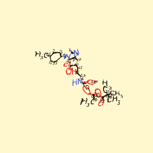 CC1CCC(n2cnc(C[C@H](CCCNC(=O)OC(C)OC(=O)C(C)(C)C)C(=O)O)c2)CC1